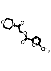 Cc1ccc(C(=O)OCC(=O)N2CCOCC2)o1